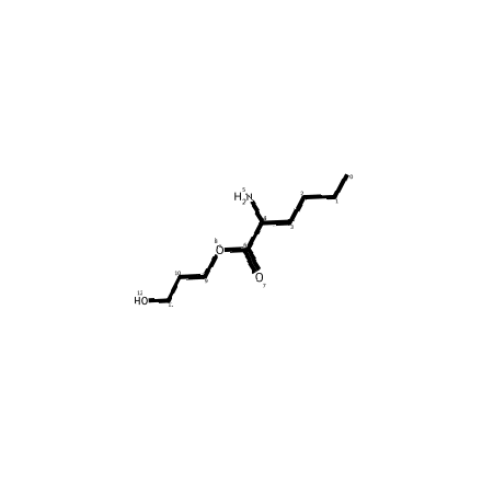 CCCCC(N)C(=O)OCCCO